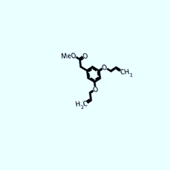 C=CCOc1cc(CC(=O)OC)cc(OCC=C)c1